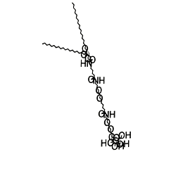 CCCCCCCCCCCCCCCCCCOC[C@@H](COC(=O)NCCCCCC(=O)NCCCOCCOCCCCCC(=O)NCCOCCOCCO[C@H]1OC(CO)[C@@H](O)C(O)C1O)OCCCCCCCCCCCCCCCCCC